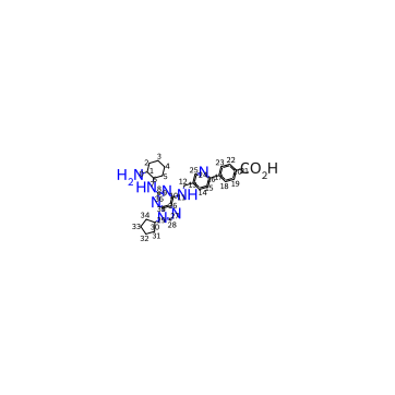 NC1CCCCC1Nc1nc(NCc2ccc(-c3ccc(C(=O)O)cc3)nc2)c2ncn(C3CCCC3)c2n1